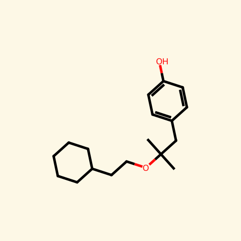 CC(C)(Cc1ccc(O)cc1)OCCC1CCCCC1